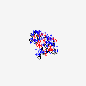 CC[C@](C)(NC(=O)[C@H](Cc1c[nH]c2ccccc12)NC(=O)[C@@H](N)CC(N)=O)C(=O)N[C@@H](CC(C)C)C(=O)N[C@@H](C)C(=O)N[C@@H](CCC(N)=O)C(=O)N[C@@H](CCCNC(=N)N)C(=O)N1CCC[C@H]1C(=O)N[C@@H](CO)C(=O)N[C@@H](CO)C(=O)NCC(=O)N[C@@H](C)C(=O)N1CCC[C@H]1C(=O)N1CCC[C@H]1C(=O)N1CCC[C@H]1C(=O)N[C@@H](CO)C(=O)N[C@@H](CCCNC(=N)N)C(N)=O